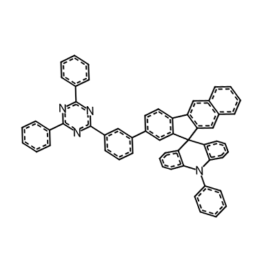 c1ccc(-c2nc(-c3ccccc3)nc(-c3cccc(-c4ccc5c(c4)C4(c6cc7ccccc7cc6-5)c5ccccc5N(c5ccccc5)c5ccccc54)c3)n2)cc1